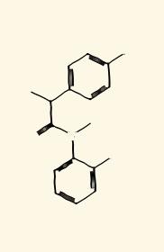 CC(C(=O)N(C)c1ccccc1F)c1ccc(Br)cc1